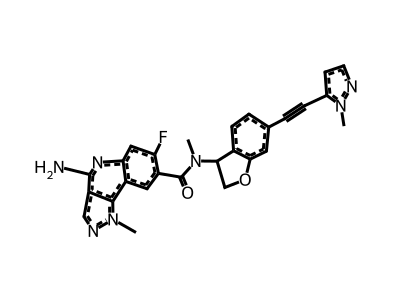 CN(C(=O)c1cc2c(cc1F)nc(N)c1cnn(C)c12)C1COc2cc(C#Cc3ccnn3C)ccc21